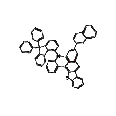 c1ccc(C2(c3ccccc3)c3ccccc3-c3c(N(c4cccc(-c5ccc6ccccc6c5)c4)c4ccccc4-c4cccc5c4sc4ccccc45)cccc32)cc1